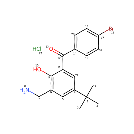 CC(C)(C)c1cc(CN)c(O)c(C(=O)c2ccc(Br)cc2)c1.Cl